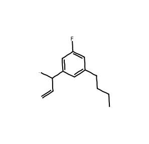 [CH2]C(C=C)c1cc(F)cc(CCCC)c1